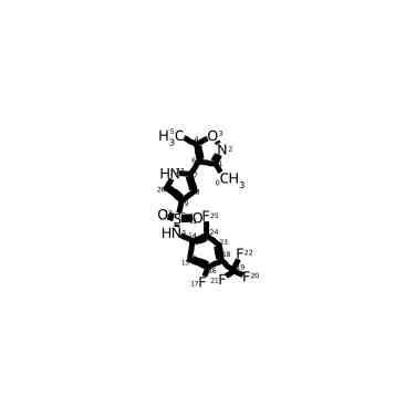 Cc1noc(C)c1-c1cc(S(=O)(=O)Nc2cc(F)c(C(F)(F)F)cc2F)c[nH]1